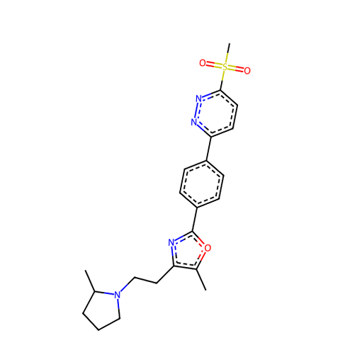 Cc1oc(-c2ccc(-c3ccc(S(C)(=O)=O)nn3)cc2)nc1CCN1CCCC1C